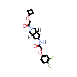 O=C(COc1ccc(Cl)c(F)c1)NC1C[C@@H]2CN(C(=O)COC3CCC3)C[C@@H]2C1